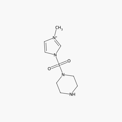 C[n+]1ccn(S(=O)(=O)N2CCNCC2)c1